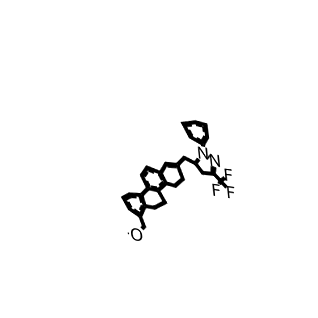 [O]Cc1cccc2c1CCc1c-2ccc2c1CCC(CC1CC(C(F)(F)F)=NN1c1ccccc1)=C2